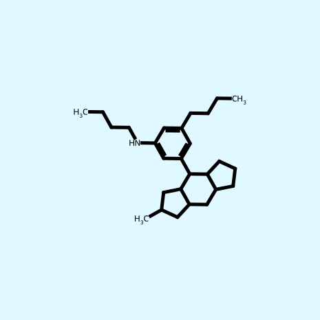 CCCCNc1cc(CCCC)cc(C2C3CCCC3CC3CC(C)CC32)c1